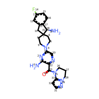 Nc1nc(N2CCC3(CC2)Cc2cc(F)ccc2[C@H]3N)cnc1C(=O)N1CCCn2nccc21